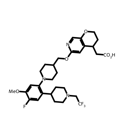 COc1cc(N2CCC(COc3cc4c(cn3)OCCC4CC(=O)O)CC2)c(C2CCN(CC(F)(F)F)CC2)cc1F